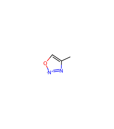 CC1=CO[N+]=N1